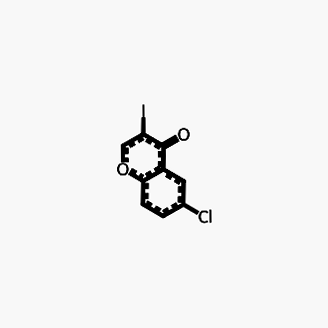 O=c1c(I)coc2ccc(Cl)cc12